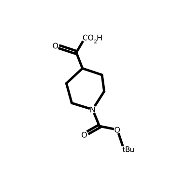 CC(C)(C)OC(=O)N1CCC(C(=O)C(=O)O)CC1